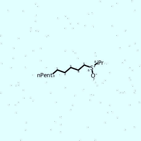 CCCCCCCCCC[S+]([O-])C(C)C